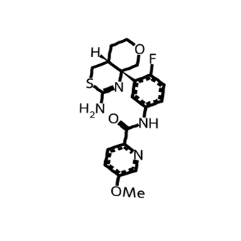 COc1ccc(C(=O)Nc2ccc(F)c([C@]34COCC[C@H]3CSC(N)=N4)c2)nc1